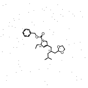 CC[C@@H]1C=C(C[C@H](CC(C)C)CC2OCCO2)CN1C(=O)OCc1ccccc1